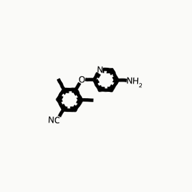 Cc1cc(C#N)cc(C)c1Oc1ccc(N)cn1